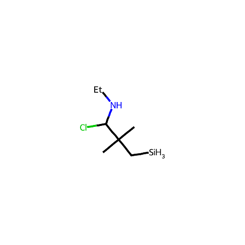 CCNC(Cl)C(C)(C)C[SiH3]